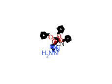 C[C@@]1(OCc2ccccc2)[C@H](OCc2ccccc2)[C@@H](COCc2ccccc2)OC1(C#N)c1cnc2c(N)ncnn12